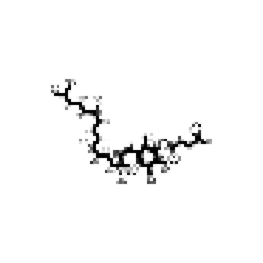 CC(=O)CCC(=O)Oc1c(C)c(C)c2c(c1C)CC[C@@](C)(CCC[C@H](C)CCC[C@H](C)CCCC(C)C)O2